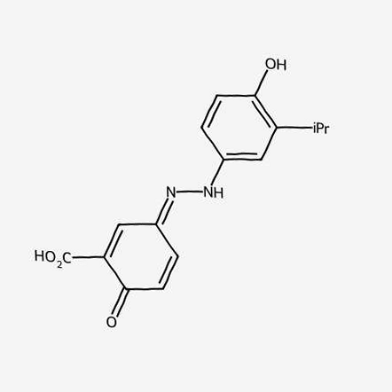 CC(C)c1cc(N/N=C2\C=CC(=O)C(C(=O)O)=C2)ccc1O